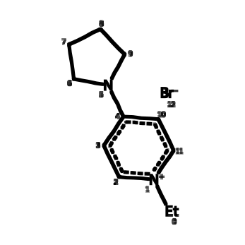 CC[n+]1ccc(N2CCCC2)cc1.[Br-]